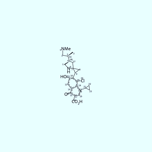 CNC[C@@H](C)[C@@H]1CNC2(CC2c2c(O)cc3c(=O)c(C(=O)O)cn(C4CC4)c3c2Cl)C1